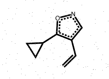 C=Cc1cnoc1C1CC1